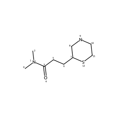 CN(C)C(=O)CCC1C[N]CCS1